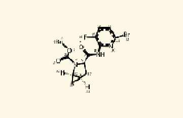 CC(C)(C)OC(=O)N1[C@@H](C(=O)Nc2nc(Br)ccc2F)C[C@H]2C[C@H]21